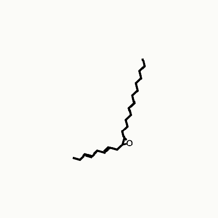 CCC=CCC=CCC1OC1CCCCCCCCCCCCC